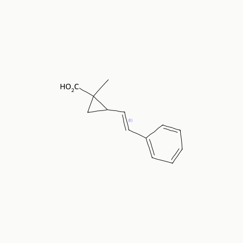 CC1(C(=O)O)CC1/C=C/c1ccccc1